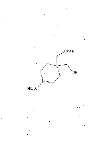 COCC1(CO)CCN(C(=O)O)CC1